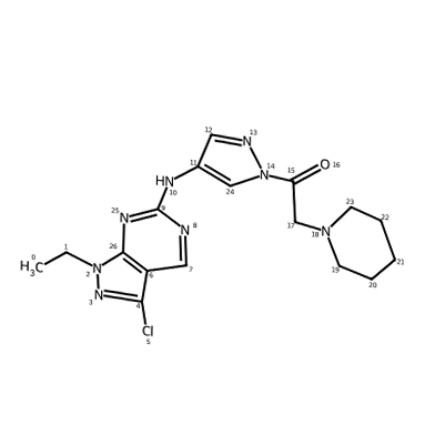 CCn1nc(Cl)c2cnc(Nc3cnn(C(=O)CN4CCCCC4)c3)nc21